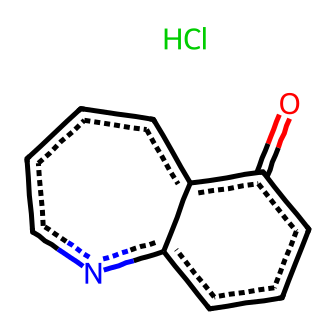 Cl.O=c1cccc2nccccc1-2